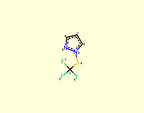 FC(F)(F)Sn1cccn1